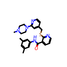 Cc1cc(C)cc(NC(=O)c2cccnc2SCc2ccnc(N3CCN(C)CC3)c2)c1